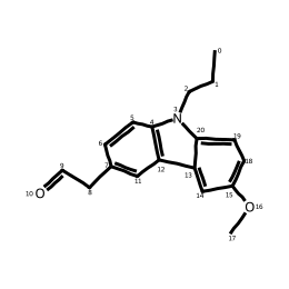 CCCn1c2ccc(CC=O)cc2c2cc(OC)ccc21